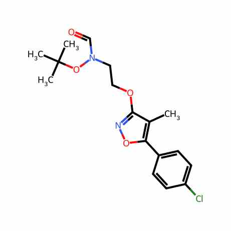 Cc1c(OCCN(C=O)OC(C)(C)C)noc1-c1ccc(Cl)cc1